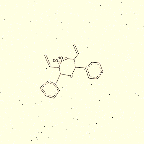 C=CC(C(=O)O)C(OC(c1ccccc1)C(C=C)C(=O)O)c1ccccc1